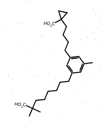 Cc1cc(CCCCCCC(C)(C)C(=O)O)cc(CCCCC2(C(=O)O)CC2)c1